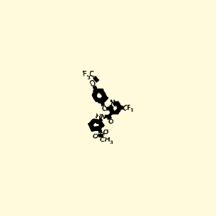 CS(=O)(=O)c1cccc(NC(=O)c2cc(C(F)(F)F)cnc2Oc2ccc(OCC(F)(F)F)cc2)c1